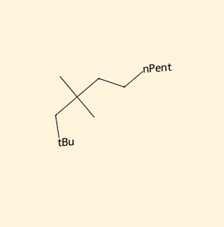 CCCCCCCC(C)(C)CC(C)(C)C